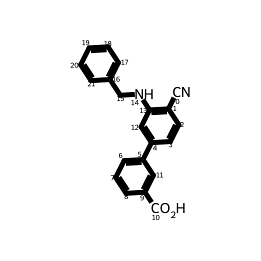 N#Cc1ccc(-c2cccc(C(=O)O)c2)cc1NCc1ccccc1